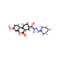 COc1ccc2c(c1)oc(=O)c1cc(C(=O)NCCN3CCCCC3)ccc12